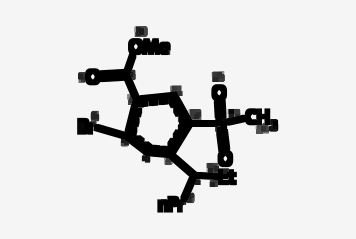 CCCC(CC)c1cc(Br)c(C(=O)OC)cc1S(C)(=O)=O